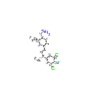 NCc1ccc(/C=C/C(c2cc(Cl)c(F)c(Cl)c2)C(F)(F)F)cc1C(F)(F)F